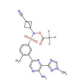 Cc1ccc(S(=O)(=O)N(OC(=O)C(F)(F)F)C23CC(C#N)(C2)C3)cc1-c1cnc(N)c(-c2ncn(C)n2)n1